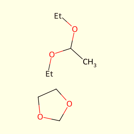 C1COCO1.CCOC(C)OCC